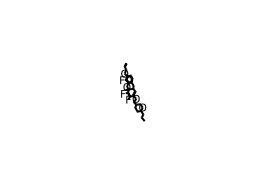 C=CCOc1ccc2c(c1F)OC1(C)C(F)=C(F)C(OCC3CCC(CCC)OC3)=CC1C2